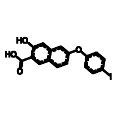 O=C(O)c1cc2ccc(Oc3ccc(I)cc3)cc2cc1O